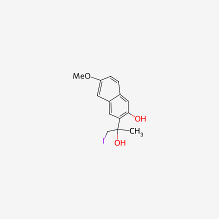 COc1ccc2cc(O)c(C(C)(O)CI)cc2c1